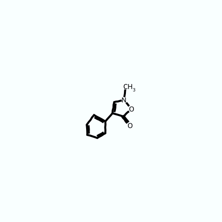 Cn1cc(-c2ccccc2)c(=O)o1